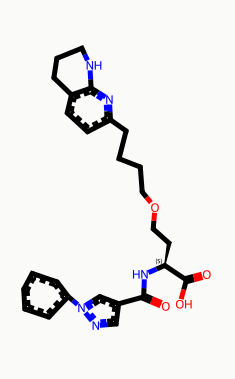 O=C(N[C@@H](CCOCCCCc1ccc2c(n1)NCCC2)C(=O)O)c1cnn(-c2ccccc2)c1